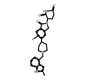 Cc1cc2c(CN3CCC(c4cc5c(cc4F)C(=O)N(C4CCC(=O)NC4=O)C5)CC3)cccc2[nH]1